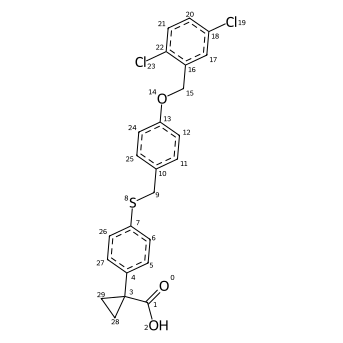 O=C(O)C1(c2ccc(SCc3ccc(OCc4cc(Cl)ccc4Cl)cc3)cc2)CC1